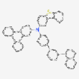 c1cc(-c2ccc(N(c3ccc4sc5ccccc5c4c3)c3ccc4c5ccccc5c5ccccc5c4c3)cc2)cc(-c2cccc3ccccc23)c1